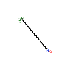 O=C=NCCCCCCCCCCCCCCCCCCCCCCCCCCC[Si](Cl)(Cl)Cl